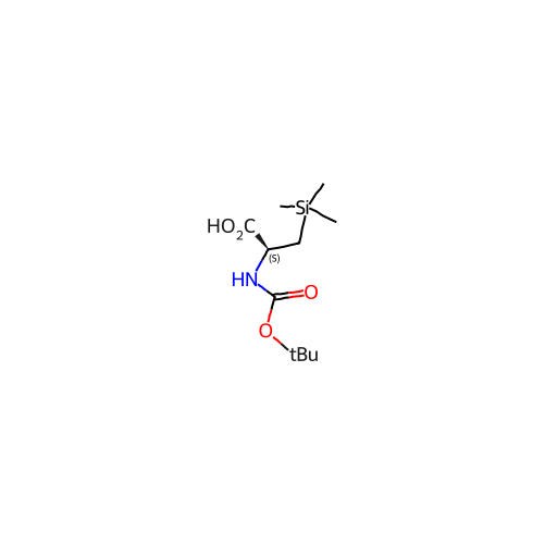 CC(C)(C)OC(=O)N[C@H](C[Si](C)(C)C)C(=O)O